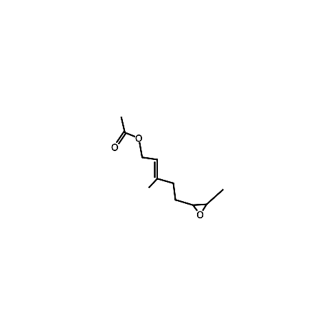 CC(=O)OC/C=C(\C)CCC1OC1C